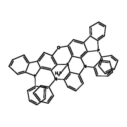 PS12c3c4cccc3N(c3ccccc3)c3c1c(cc1c5ccccc5p(-c5ccccc5)c31)Oc1cc3c5ccccc5p(-c5ccccc5)c3c(c12)N4c1ccccc1